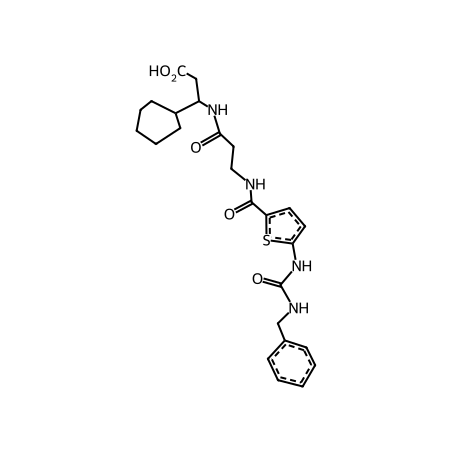 O=C(O)CC(NC(=O)CCNC(=O)c1ccc(NC(=O)NCc2ccccc2)s1)C1CCCCC1